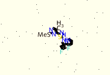 CSc1ncc(C)c(-c2nnc(NCC3(c4ncccc4F)CC(F)C3)s2)n1